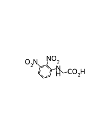 O=C(O)CNc1cccc([N+](=O)[O-])c1[N+](=O)[O-]